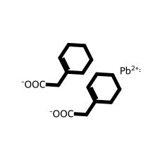 O=C([O-])CC1=CCCCC1.O=C([O-])CC1=CCCCC1.[Pb+2]